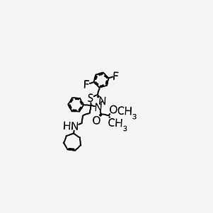 CO[C@@H](C)C(=O)N1N=C(c2cc(F)ccc2F)SC1(CCCNC1CCC=CCC1)c1ccccc1